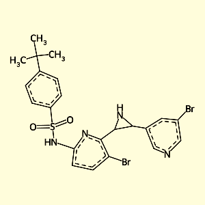 CC(C)(C)c1ccc(S(=O)(=O)Nc2ccc(Br)c(C3NC3c3cncc(Br)c3)n2)cc1